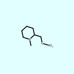 CN1C[CH]CCC1CO[N+](=O)[O-]